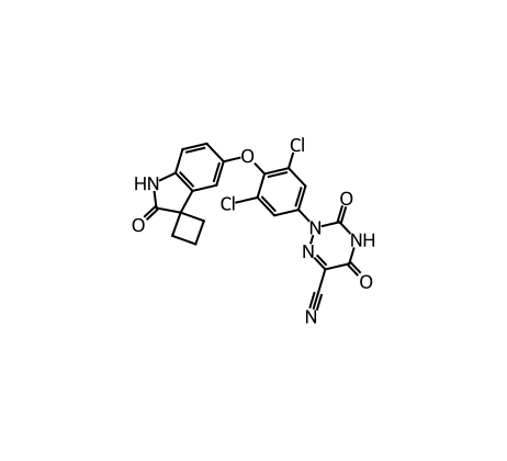 N#Cc1nn(-c2cc(Cl)c(Oc3ccc4c(c3)C3(CCC3)C(=O)N4)c(Cl)c2)c(=O)[nH]c1=O